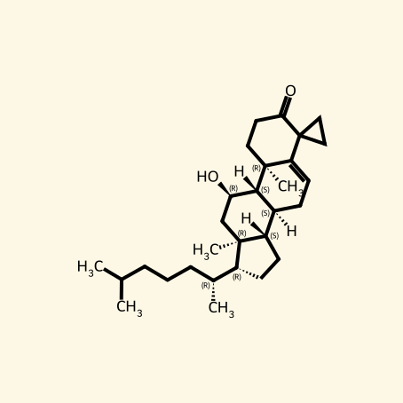 CC(C)CCC[C@@H](C)[C@H]1CC[C@H]2[C@@H]3CC=C4C5(CC5)C(=O)CC[C@]4(C)[C@H]3[C@H](O)C[C@]12C